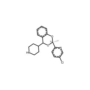 C[C@@]1(c2ccc(Cl)cn2)Oc2ccccc2C(C2CCNCC2)O1